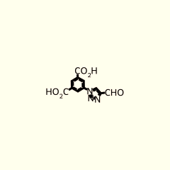 O=Cc1cn(-c2cc(C(=O)O)cc(C(=O)O)c2)nn1